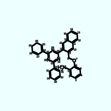 Nc1ccccc1OCc1cc2ccccc2cc1-c1nc(C2=CCCC=C2)nc(-c2ccccc2)n1